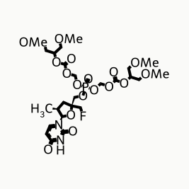 COCC(COC)OC(=O)OCOP(=O)(OCOC(=O)OC(COC)COC)OC[C@]1(CF)C[C@H](C)[C@H](n2ccc(=O)[nH]c2=O)O1